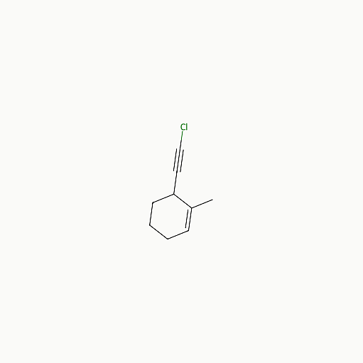 CC1=CCCCC1C#CCl